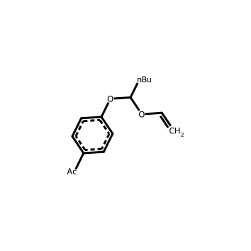 C=COC(CCCC)Oc1ccc(C(C)=O)cc1